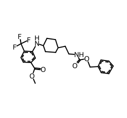 COC(=O)c1ccc(C(F)(F)F)c(NC2CCC(CCNC(=O)OCc3ccccc3)CC2)c1